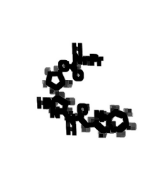 CCCNC(=O)O[C@H]1CC[C@@H](c2cc(NC(=O)Cc3cn4ccccc4n3)n[nH]2)C1